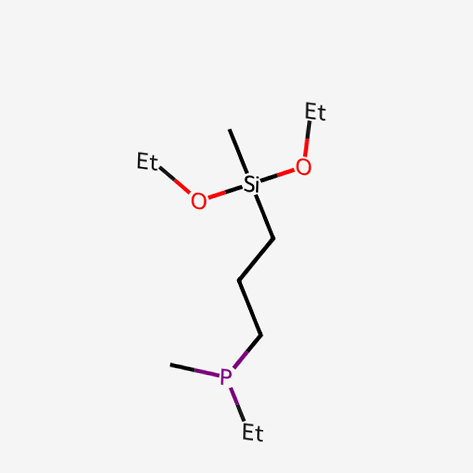 CCO[Si](C)(CCCP(C)CC)OCC